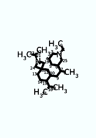 CCN1CCCC(C(C)CC2CC3(CCC2C(C)C)CN(C(C)C)C3)C1